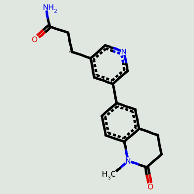 CN1C(=O)CCc2cc(-c3cncc([CH]CC(N)=O)c3)ccc21